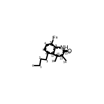 CCCCc1ccc(F)c2[nH]c(=O)c(C)c(C)c12